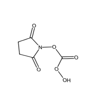 O=C(OO)ON1C(=O)CCC1=O